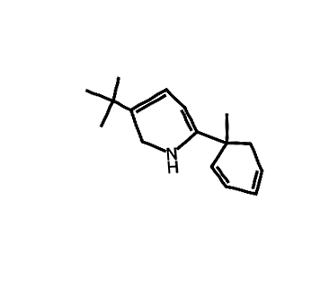 CC(C)(C)C1=CC=C(C2(C)C=CC=CC2)NC1